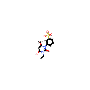 CCN1C(=O)CC(=O)N(c2cccc(S(=O)(=O)[O-])c2)C1=O.[Na+]